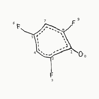 [O]c1c(F)cc(F)cc1F